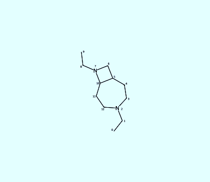 CCN1CCC2CN(CC)C2CC1